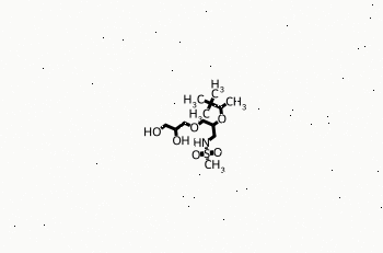 CC(OC(CNS(C)(=O)=O)COCC(O)CO)C(C)(C)C